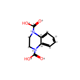 O=C(O)N1CCN(C(=O)O)c2ccccc21